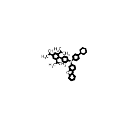 CC(C)c1cc(C(C)C)c(-c2ccc(N(c3ccc(C4CCCCC4)cc3)c3ccc4c(c3)oc3ccccc34)cc2)c(C(C)C)c1